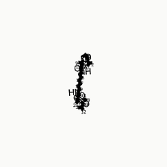 CC(C)C1OCCN1C(C)OC(=O)NCCCCCCNC(=O)OC(C)N1CCOC1C(C)C